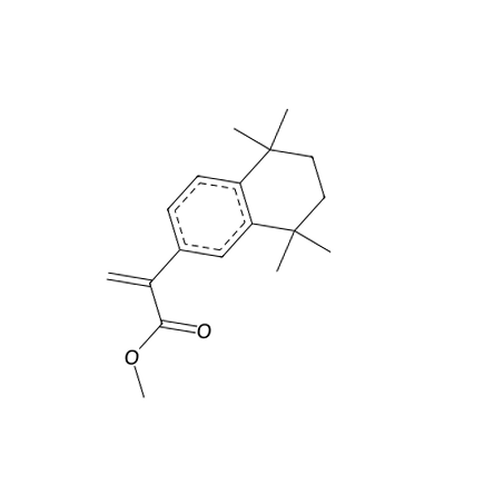 C=C(C(=O)OC)c1ccc2c(c1)C(C)(C)CCC2(C)C